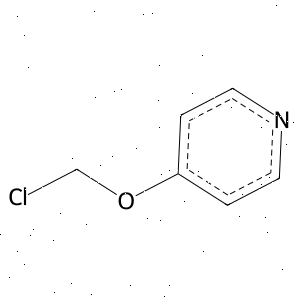 ClCOc1ccncc1